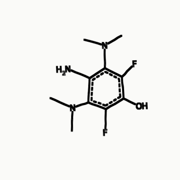 CN(C)c1c(N)c(N(C)C)c(F)c(O)c1F